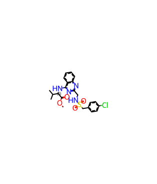 COC(=O)[C@@H](Nc1nc(CNS(=O)(=O)Cc2ccc(Cl)cc2)nc2ccccc12)C(C)C